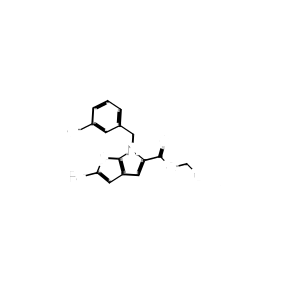 CCOC(=O)c1cc2cc(Br)sc2n1Cc1cccc(Cl)c1